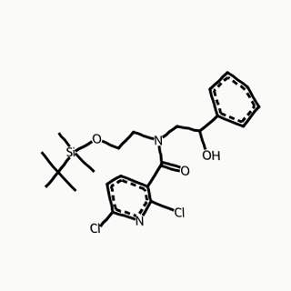 CC(C)(C)[Si](C)(C)OCCN(CC(O)c1ccccc1)C(=O)c1ccc(Cl)nc1Cl